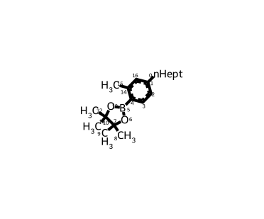 CCCCCCCc1ccc(B2OC(C)(C)C(C)(C)O2)c(C)c1